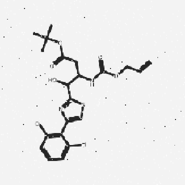 C=CCOC(=O)NC(CC(=O)OC(C)(C)C)C(O)c1nc(-c2c(Cl)cccc2Cl)cs1